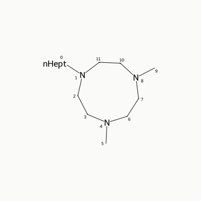 CCCCCCCN1CCN(C)CCN(C)CC1